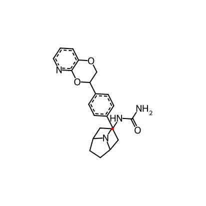 NC(=O)NC1CC2CCC(C1)N2Cc1ccc(C2COc3cccnc3O2)cc1